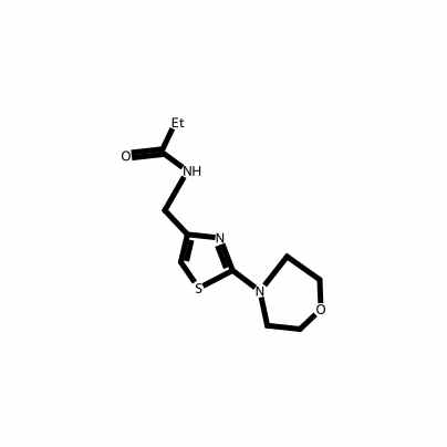 CCC(=O)NCc1csc(N2CCOCC2)n1